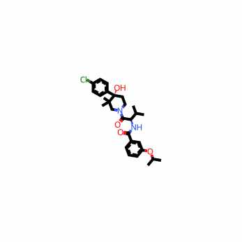 CC(C)Oc1cccc(C(=O)N[C@@H](C(=O)N2CC[C@](O)(c3ccc(Cl)cc3)C(C)(C)C2)C(C)C)c1